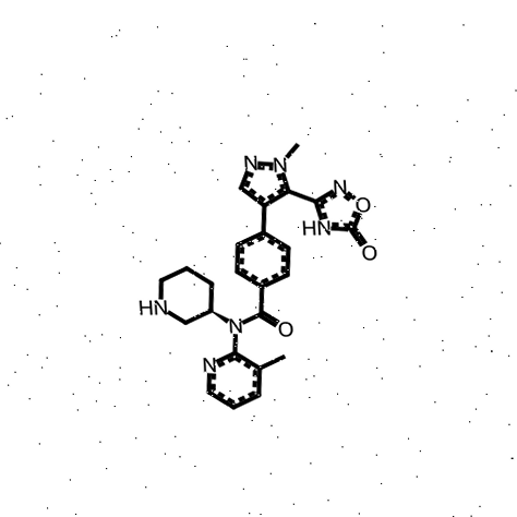 Cc1cccnc1N(C(=O)c1ccc(-c2cnn(C)c2-c2noc(=O)[nH]2)cc1)[C@@H]1CCCNC1